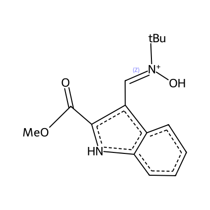 COC(=O)c1[nH]c2ccccc2c1/C=[N+](\O)C(C)(C)C